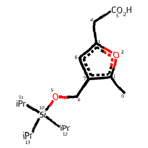 Cc1oc(CC(=O)O)cc1CO[Si](C(C)C)(C(C)C)C(C)C